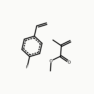 C=C(C)C(=O)OC.C=Cc1ccc(F)cc1